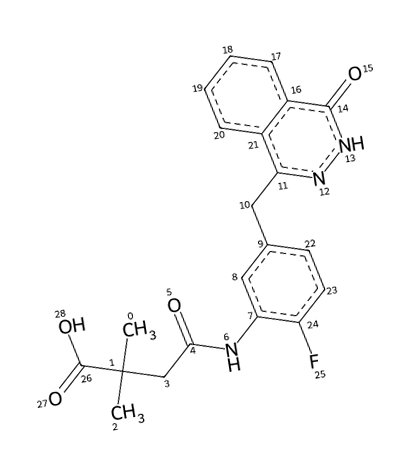 CC(C)(CC(=O)Nc1cc(Cc2n[nH]c(=O)c3ccccc23)ccc1F)C(=O)O